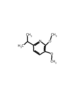 COc1ccc(C(C)C)nc1OC